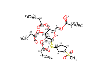 CCCCCCCCCCCC(=O)OC[C@H]1O[C@@H](SC2CCC(S(C)(=O)=O)C2)[C@H](OC(=O)CCCCCCCCCCC)[C@@H](OC(=O)CCCCCCCCCCC)[C@H]1OC(=O)CCCCCCCCCCC